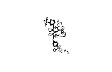 CCS(=O)(=O)c1ccc(CNC(=O)c2cc(C(=O)N3CCCO3)c(C)n(-c3cccc(C(F)(F)F)c3)c2=O)cc1